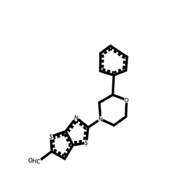 O=Cc1cc2sc(N3CCOC(c4ccccc4)C3)nc2s1